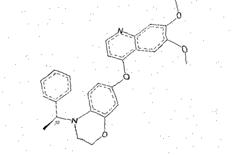 COc1cc2nccc(Oc3ccc4c(c3)OCCN4[C@@H](C)c3ccccc3)c2cc1OC